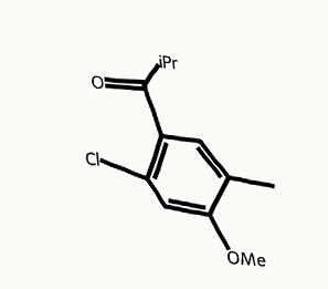 COc1cc(Cl)c(C(=O)C(C)C)cc1C